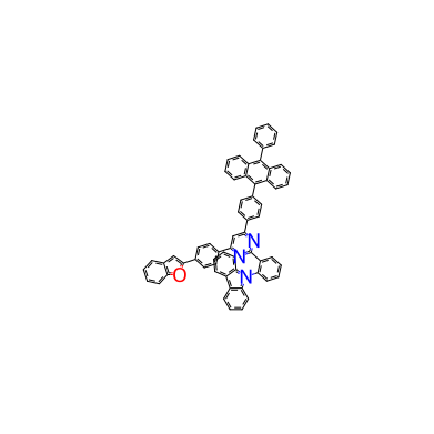 c1ccc(-c2c3ccccc3c(-c3ccc(-c4cc(-c5ccc(-c6cc7ccccc7o6)cc5)nc(-c5ccccc5-n5c6ccccc6c6ccccc65)n4)cc3)c3ccccc23)cc1